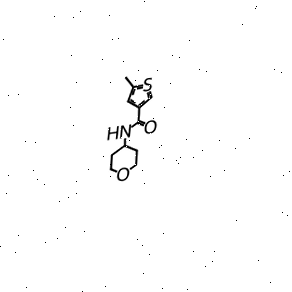 Cc1cc(C(=O)NC2CCOCC2)cs1